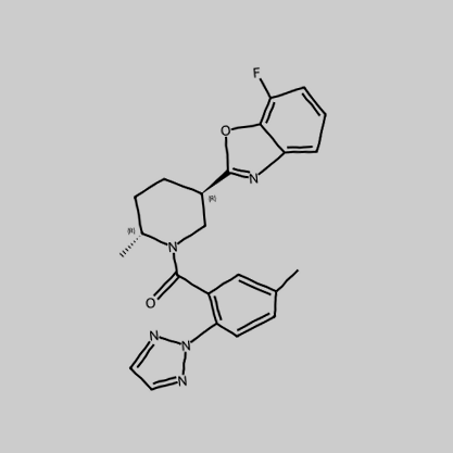 Cc1ccc(-n2nccn2)c(C(=O)N2C[C@H](c3nc4cccc(F)c4o3)CC[C@H]2C)c1